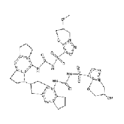 CO[C@H]1COc2c(S(=O)(=O)NC(=O)Nc3c4c(cc5c3C(C3Cc6cc7c(c(NC(=O)NS(=O)(=O)c8cnn9c8OCC(O)C9)c6C3)CCC7)CC5)CCC4)cnn2C1